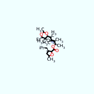 CC[C@@H]1OC(C)O[C@@H]([C@@H](C)/C(C)=C(\C)[C@H](C)OC(=O)C2OC(C)C[C@H]2CC(C)C)C1(C)C